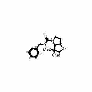 COC1(OC)COC2CCN(C(=O)OCc3ccccc3)C21